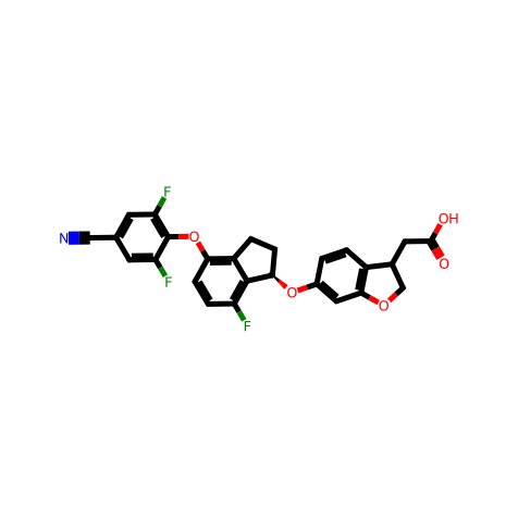 N#Cc1cc(F)c(Oc2ccc(F)c3c2CC[C@H]3Oc2ccc3c(c2)OCC3CC(=O)O)c(F)c1